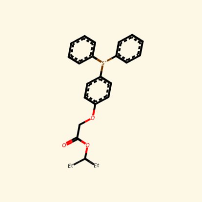 CCC(CC)OC(=O)COc1ccc([S+](c2ccccc2)c2ccccc2)cc1